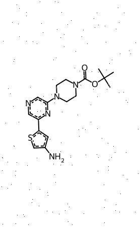 CC(C)(C)OC(=O)N1CCN(c2cncc(-c3cc(N)cs3)n2)CC1